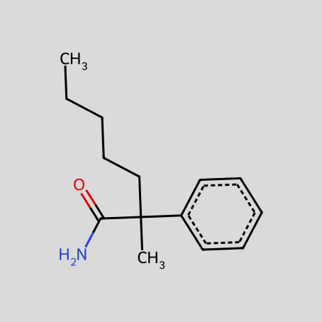 CCCCCC(C)(C(N)=O)c1ccccc1